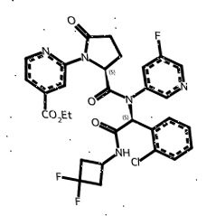 CCOC(=O)c1ccnc(N2C(=O)CC[C@H]2C(=O)N(c2cncc(F)c2)[C@H](C(=O)NC2CC(F)(F)C2)c2ccccc2Cl)c1